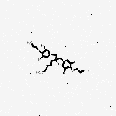 C=CCOc1c(Br)cc(CC(C)(CCCCC(=O)O)Cc2cc(Br)c(OCC=C)c(Br)c2)cc1Br